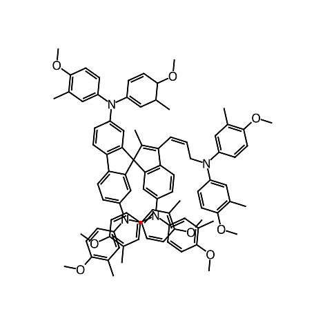 COc1ccc(N(C/C=C\C2=C(C)C3(c4cc(N(c5ccc(OC)c(C)c5)c5ccc(OC)c(C)c5)ccc42)c2cc(N(C4=CC(C)C(OC)C=C4)c4ccc(OC)c(C)c4)ccc2-c2ccc(N(c4ccc(OC)c(C)c4)c4ccc(OC)c(C)c4)cc23)c2ccc(OC)c(C)c2)cc1C